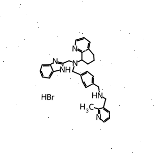 Br.Cc1ncccc1CNCc1ccc(CN(Cc2nc3ccccc3[nH]2)C2CCCc3cccnc32)cc1